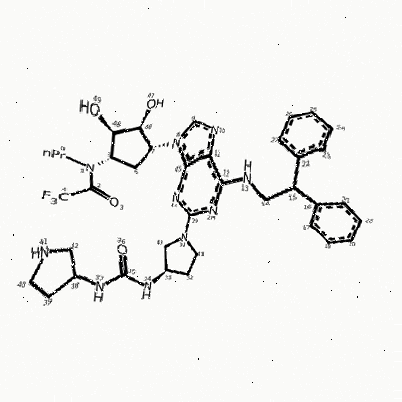 CCCN(C(=O)C(F)(F)F)[C@H]1C[C@@H](n2cnc3c(NCC(c4ccccc4)c4ccccc4)nc(N4CC[C@@H](NC(=O)NC5CCNC5)C4)nc32)[C@H](O)[C@@H]1O